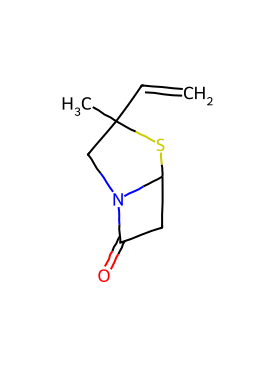 C=CC1(C)CN2C(=O)CC2S1